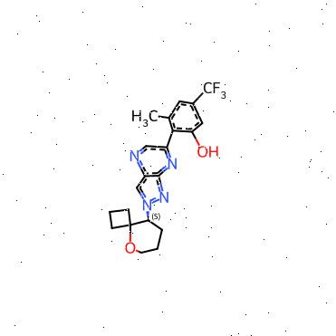 Cc1cc(C(F)(F)F)cc(O)c1-c1cnc2cn([C@H]3CCCOC34CCC4)nc2n1